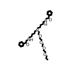 CCCOCCOCCOCCOCCN(CCCCCNCC(=O)c1ccccc1)CCCCCNCC(=O)c1ccccc1